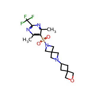 Cc1nc(C(F)(F)F)nc(C)c1S(=O)(=O)N1CC2(CN(C3CC4(COC4)C3)C2)C1